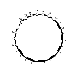 [C]1=C/C=C\C=C/C=C\C=C/C=C\C=C/CCCCCCCCCCC\1